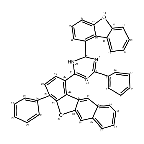 c1ccc(C2=NC(c3cccc4oc5ccccc5c34)NC(c3ccc(-c4ccccc4)c4oc5cc6ccccc6cc5c34)=N2)cc1